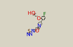 CC(C)(O)CCOc1cc(F)ccc1C1CCN([C@@H]2COC3(C2)CN(c2nncs2)C3)CC1